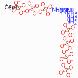 O=S(=O)([O-])[O-].O=S(=O)([O-])[O-].O=S(=O)([O-])[O-].O=S(=O)([O-])[O-].O=S(=O)([O-])[O-].O=S(=O)([O-])[O-].O=S(=O)([O-])[O-].[Ce+3].[Ce+3].[NH4+].[NH4+].[NH4+].[NH4+].[NH4+].[NH4+].[NH4+].[NH4+]